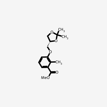 COC(=O)c1cccc(OC[C@@H]2COC(C)(C)O2)c1C